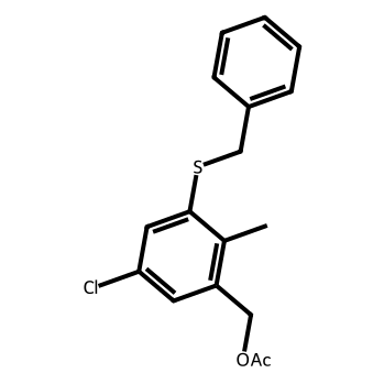 CC(=O)OCc1cc(Cl)cc(SCc2ccccc2)c1C